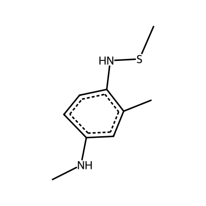 CNc1ccc(NSC)c(C)c1